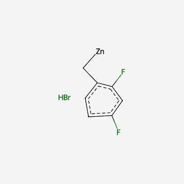 Br.Fc1ccc([CH2][Zn])c(F)c1